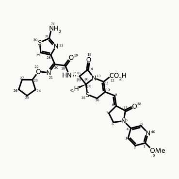 COc1ccc(N2CCC(=CC3=C(C(=O)O)N4C(=O)[C@@H](NC(=O)C(=NOC5CCCC5)c5csc(N)n5)[C@H]4SC3)C2=O)cn1